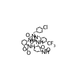 O=C(Nc1cccc2oc(=O)[nH]c12)N(Cc1ccc(Cl)cc1)N(Cc1ccc(C(F)(F)F)cc1)C(=O)Nc1cccc2[nH]c(=O)oc12